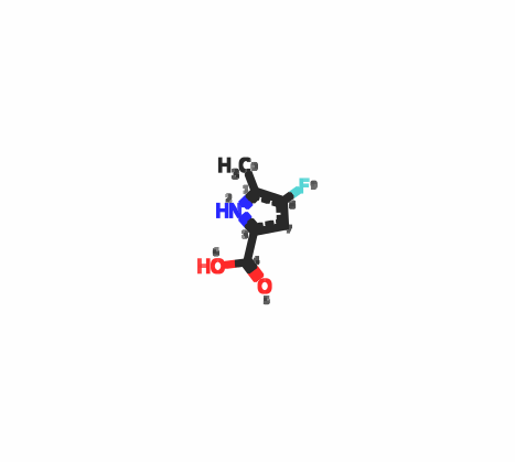 Cc1[nH]c(C(=O)O)cc1F